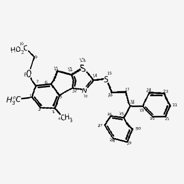 Cc1cc(C)c2c(c1OCC(=O)O)Cc1sc(SCCC(c3ccccc3)c3ccccc3)nc1-2